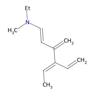 C=C/C(=C\C)C(=C)C=CN(C)CC